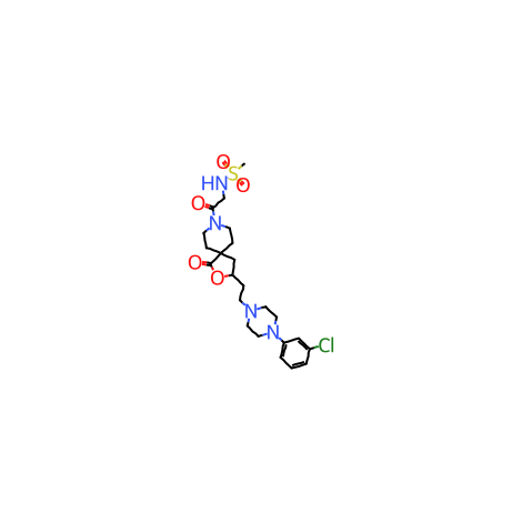 CS(=O)(=O)NCC(=O)N1CCC2(CC1)CC(CCN1CCN(c3cccc(Cl)c3)CC1)OC2=O